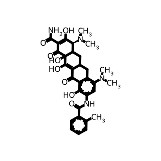 Cc1ccccc1C(=O)Nc1cc(N(C)C)c2c(c1O)C(=O)C1=C(O)C3(O)C(=O)C(C(N)=O)=C(O)[C@@H](N(C)C)C3CC1C2